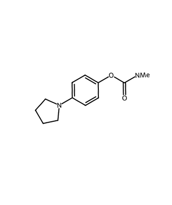 CNC(=O)Oc1ccc(N2CCCC2)cc1